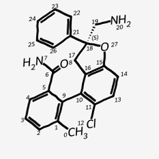 Cc1cccc(C(N)=O)c1-c1c(Cl)ccc2c1C[C@@](CN)(c1ccccc1)O2